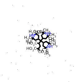 CC1(C)CC(C(C2CC(C)(C)NC(C)(C)C2)(C2CC(C)(C)NC(C)(C)C2)C(CC(C(=O)O)C(=O)O)C(=O)O)CC(C)(C)N1